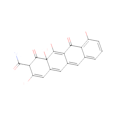 NC(=O)C1C(=O)C2(O)C(=CC3=Cc4cccc(O)c4C(=O)C3=C2O)C=C1O